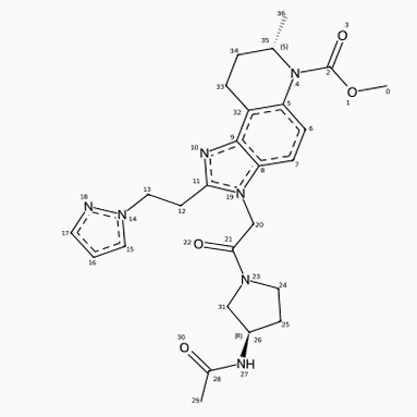 COC(=O)N1c2ccc3c(nc(CCn4cccn4)n3CC(=O)N3CC[C@@H](NC(C)=O)C3)c2CC[C@@H]1C